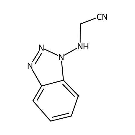 N#CCNn1nnc2ccccc21